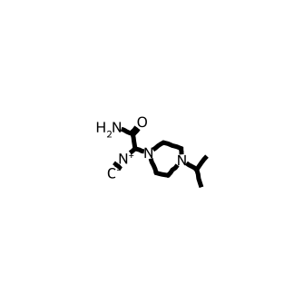 [C-]#[N+]C(C(N)=O)N1CCN(C(C)C)CC1